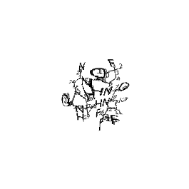 CC(C)(F)CC(NC(=O)c1ccc(C(F)(F)F)[nH]1)C(=O)NC(C#N)CC1CC2(CC2)NC1=O